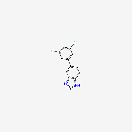 Fc1cc(Cl)cc(-c2ccc3[nH][c]nc3c2)c1